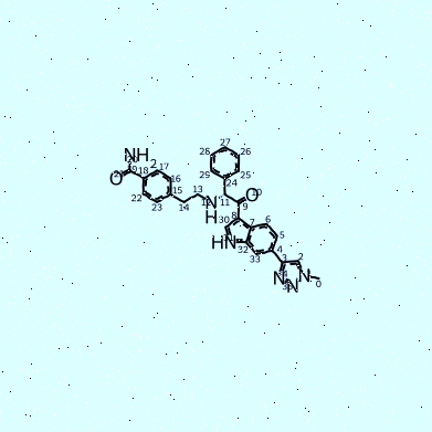 Cn1cc(-c2ccc3c(C(=O)[C@H](NCCc4ccc(C(N)=O)cc4)c4ccccc4)c[nH]c3c2)nn1